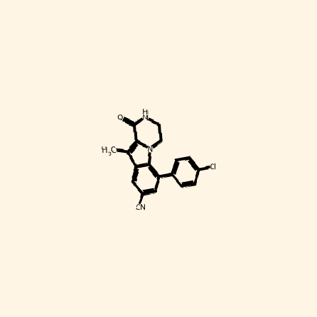 Cc1c2n(c3c(-c4ccc(Cl)cc4)cc(C#N)cc13)CCNC2=O